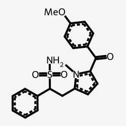 COc1ccc(C(=O)c2ccc(CC(c3ccccc3)S(N)(=O)=O)n2C)cc1